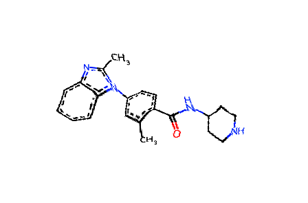 Cc1cc(-n2c(C)nc3ccccc32)ccc1C(=O)NC1CCNCC1